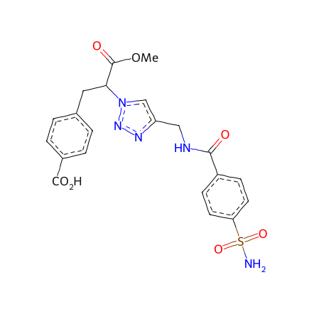 COC(=O)C(Cc1ccc(C(=O)O)cc1)n1cc(CNC(=O)c2ccc(S(N)(=O)=O)cc2)nn1